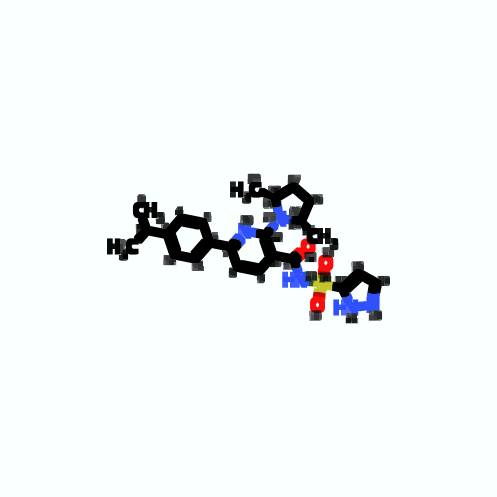 CC(C)c1ccc(-c2ccc(C(=O)NS(=O)(=O)c3ccn[nH]3)c(N3[C@H](C)CC[C@@H]3C)n2)cc1